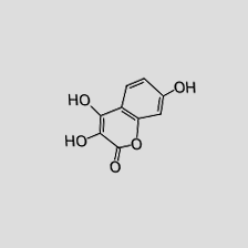 O=c1oc2cc(O)ccc2c(O)c1O